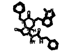 CCCN(C(=O)NCc1ccccc1)N1CC(=O)N2[C@@H](Cc3ccccc3)C(=O)N(Cc3cccc4cnn(C)c34)C[C@@H]21